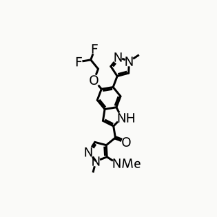 CNc1c(C(=O)c2cc3cc(OCC(F)F)c(-c4cnn(C)c4)cc3[nH]2)cnn1C